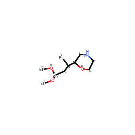 CCO[SiH](CC(CC)C1CNCCO1)OCC